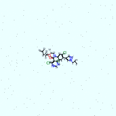 CC(C)Cn1cc(-c2ccc(N(C[C@@H](C)O[Si](C)(C)CC(C)C)C(=O)c3c(Cl)ncnc3Cl)cc2Cl)cn1